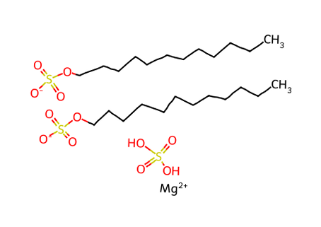 CCCCCCCCCCCCOS(=O)(=O)[O-].CCCCCCCCCCCCOS(=O)(=O)[O-].O=S(=O)(O)O.[Mg+2]